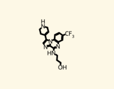 OCCCNc1nc2cc(C(F)(F)F)ccc2n2c(C3=CCNCC3)cnc12